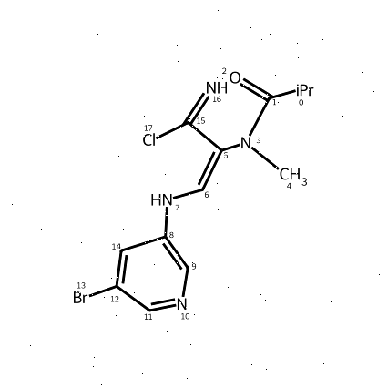 CC(C)C(=O)N(C)/C(=C/Nc1cncc(Br)c1)C(=N)Cl